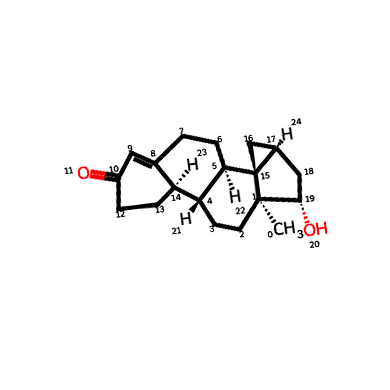 C[C@]12CC[C@H]3[C@@H](CCC4=CC(=O)CC[C@@H]43)[C@@]13C[C@H]3C[C@@H]2O